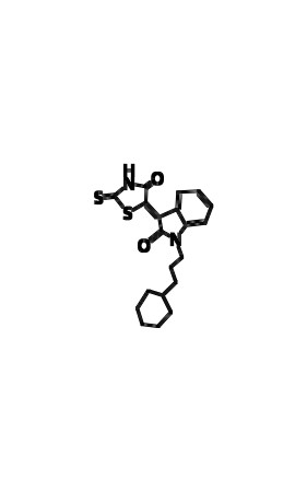 O=C1NC(=S)S/C1=C1\C(=O)N(CCCC2CCCCC2)c2ccccc21